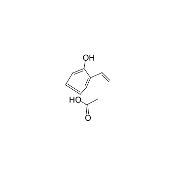 C=Cc1ccccc1O.CC(=O)O